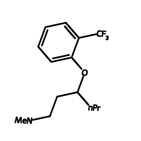 CCCC(CCNC)Oc1ccccc1C(F)(F)F